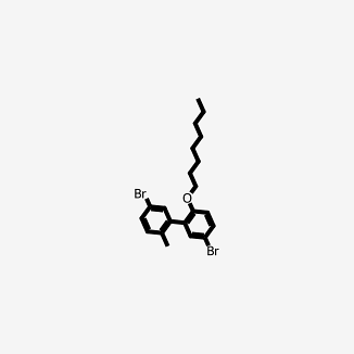 CCCCCCCCOc1ccc(Br)cc1-c1cc(Br)ccc1C